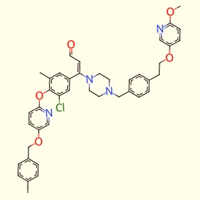 COc1ccc(OCCc2ccc(CN3CCN(C(=CC=O)c4cc(C)c(Oc5ccc(OCc6ccc(C)cc6)cn5)c(Cl)c4)CC3)cc2)cn1